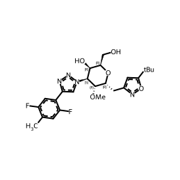 CO[C@@H]1[C@@H](n2cc(-c3cc(F)c(C)cc3F)nn2)[C@@H](O)[C@@H](CO)O[C@@H]1Cc1cc(C(C)(C)C)on1